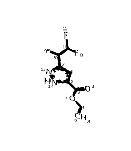 CCOC(=O)c1cc(C(F)C(F)F)n[nH]1